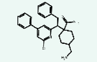 NCC1CCC(C(N)=O)(C(Cc2ccccc2)c2cc(-c3ccccc3)cc(Cl)n2)CC1